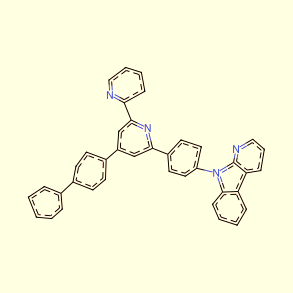 c1ccc(-c2ccc(-c3cc(-c4ccc(-n5c6ccccc6c6cccnc65)cc4)nc(-c4ccccn4)c3)cc2)cc1